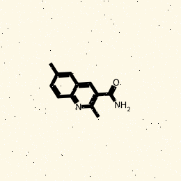 Cc1[c]c2cc(C(N)=O)c(C)nc2cc1